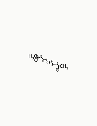 CC(=O)CCCOCCCC(C)=O